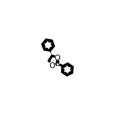 c1ccc(B2OC[C@H](c3ccccc3)O2)cc1